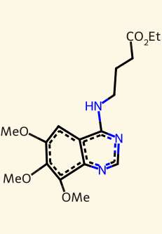 CCOC(=O)CCCNc1ncnc2c(OC)c(OC)c(OC)cc12